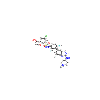 CCN1CCC(Nc2ncc3cc(-c4c(F)ccc(NS(=O)(=O)c5cc(Cl)cc6c5OC[C@H]6O)c4F)cc(F)c3n2)CC1